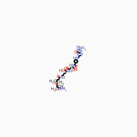 CC(C)(CCOC(C)(C)CCC(=O)NCCCC[C@H](NC(=O)CC[C@H](NC(=O)c1ccc(NCc2cnc3nc(N)[nH]c(=O)c3n2)cc1)C(=O)O)C(=O)O)ON